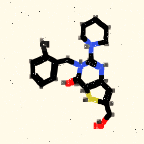 N#Cc1ccccc1Cn1c(N2CCCCC2)nc2cc(CO)sc2c1=O